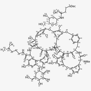 CCCCCCCCCCCCC(=O)NC1[C@H](Oc2c3cc4cc2Oc2ccc(cc2Cl)[C@@H](O)[C@@H]2NC(=O)[C@H](NC(=O)C4NC(=O)[C@@H]4NC(=O)C(Cc5ccc(cc5)O3)NC(=O)[C@H](NC)c3ccc(O)c(c3)Oc3cc(O)c(Cl)c4c3)c3ccc(O)c(c3)-c3c(OC4O[C@H](CO)C(O)[C@H](O)[C@@H]4O)cc(O)cc3C(C(=O)NCCCN(C)C)NC2=O)O[C@H](C(=O)O)C(O)[C@@H]1O